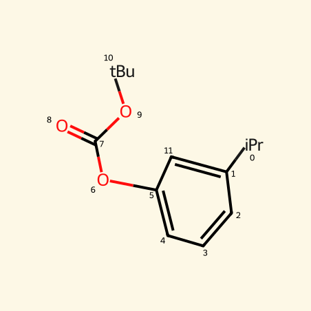 [CH2]C(C)c1cccc(OC(=O)OC(C)(C)C)c1